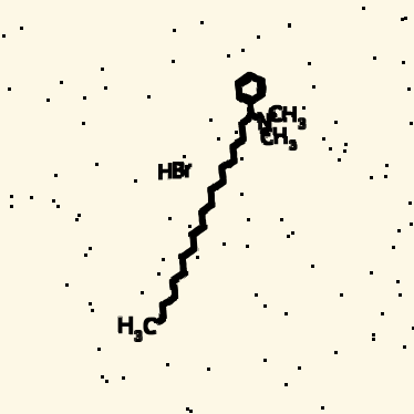 Br.CCCCCCCCCCCCCCCCCCCC(c1ccccc1)N(C)C